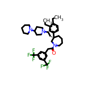 CCc1ccc([C@@]2(CCN3CCC(N4CCCCC4)CC3)CCCCN(C(=O)Cc3cc(C(F)(F)F)cc(C(F)(F)F)c3)C2)cc1CC